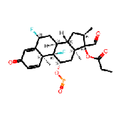 CCC(=O)O[C@]1(C=O)[C@H](C)C[C@H]2[C@@H]3C[C@H](F)C4=CC(=O)C=C[C@]4(C)[C@@]3(F)[C@@H](OP=O)C[C@@]21C